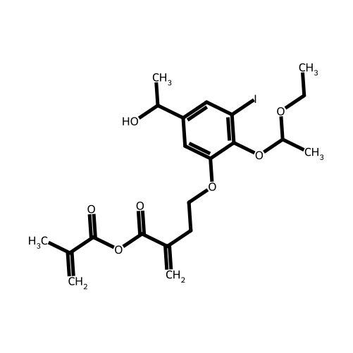 C=C(C)C(=O)OC(=O)C(=C)CCOc1cc(C(C)O)cc(I)c1OC(C)OCC